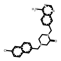 Nc1ncnc2cc(CN3CCN(Cc4ccc5cc(Cl)ccc5c4)CC3=O)ccc12